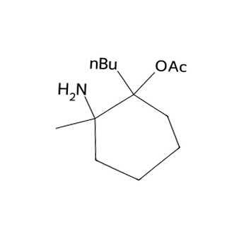 CCCCC1(OC(C)=O)CCCCC1(C)N